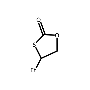 CCC1COC(=O)S1